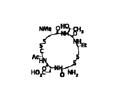 CC[C@@H]1CSSC[C@H](N)C(=O)N[C@@H](CC(=O)O)C(=O)N[C@H](C(C)=O)CSSC[C@H](NC)C(=O)NC([C@@H](C)O)C(=O)N1